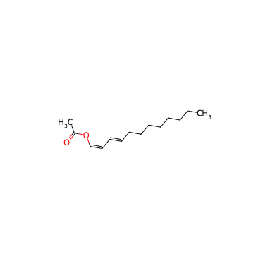 CCCCCCCC/C=C/C=C\OC(C)=O